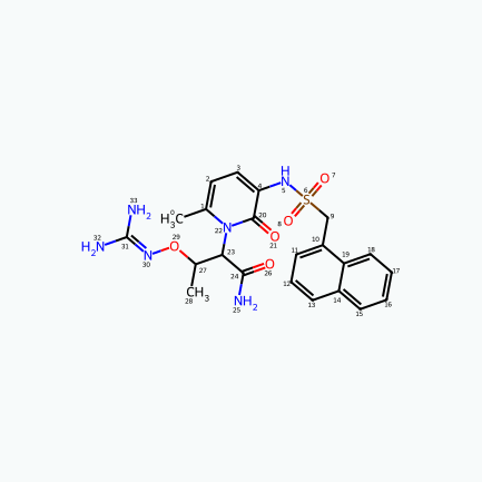 Cc1ccc(NS(=O)(=O)Cc2cccc3ccccc23)c(=O)n1C(C(N)=O)C(C)ON=C(N)N